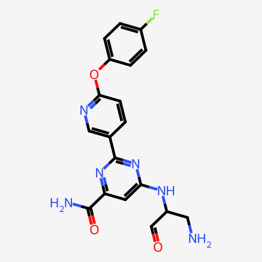 NCC(C=O)Nc1cc(C(N)=O)nc(-c2ccc(Oc3ccc(F)cc3)nc2)n1